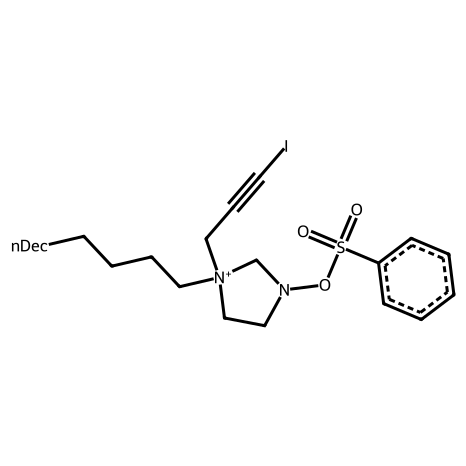 CCCCCCCCCCCCCC[N+]1(CC#CI)CCN(OS(=O)(=O)c2ccccc2)C1